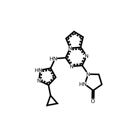 O=C1CCN(c2nc(Nc3cc(C4CC4)n[nH]3)n3cccc3n2)N1